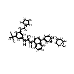 CN1CCC(Oc2ccc(-c3ccc(NC(=O)Nc4cc(CCN5CCCC5)cc(C(C)(C)C)c4)c4ccccc34)cn2)CC1